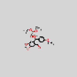 COC(C)OC.COc1ccc(C(O)c2cc3c(cc2C=O)OCO3)cc1